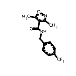 Cc1noc(C)c1C(=O)NCc1ccc(C(F)(F)F)cc1